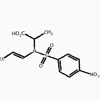 CCC=CN(C(C)C(=O)O)S(=O)(=O)c1ccc([N+](=O)[O-])cc1